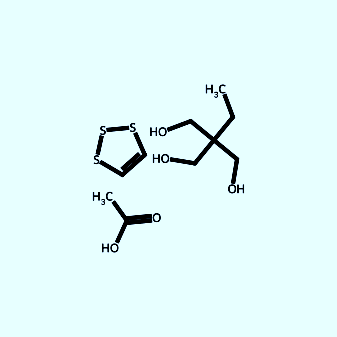 C1=CSSS1.CC(=O)O.CCC(CO)(CO)CO